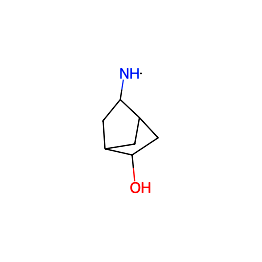 [NH]C1CC2CC1CC2O